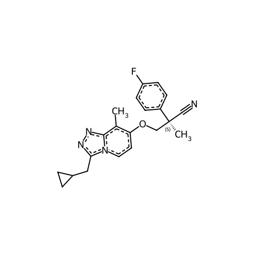 Cc1c(OC[C@](C)(C#N)c2ccc(F)cc2)ccn2c(CC3CC3)nnc12